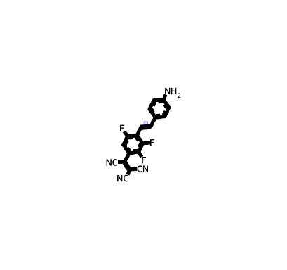 N#CC(C#N)=C(C#N)c1cc(F)c(/C=C/c2ccc(N)cc2)c(F)c1F